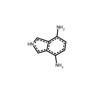 Nc1ccc(N)c2c[nH]cc12